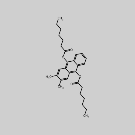 CCCCCCC(=O)Oc1c2ccccc2c(OC(=O)CCCCCC)c2cc(C)c(C)cc12